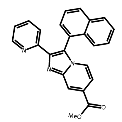 COC(=O)c1ccn2c(-c3cccc4ccccc34)c(-c3ccccn3)nc2c1